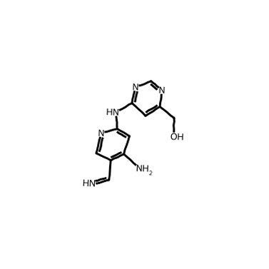 N=Cc1cnc(Nc2cc(CO)ncn2)cc1N